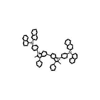 Cc1c(-c2ccccc2)c2cc(-c3ccc4c(c3)c(-c3ccccc3)c(C)n4-c3ccc(N(c4ccc5ccccc5c4)c4cccc5ccccc45)cc3)ccc2n1-c1ccc(N(c2ccc3ccccc3c2)c2cccc3ccccc23)cc1